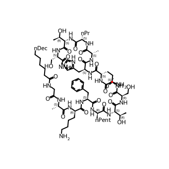 CCCCCCCCCCCCCCCC(=O)NCC(=O)N[C@@H](C)C(=O)N[C@H](CCCCN)C(=O)N[C@@H](Cc1ccccc1)C(=O)N[C@H](CCCCC)C(=O)N[C@H](C(=O)N[C@H](CO)C(=O)N[C@@H](C)C(=O)N[C@@H](CCC(N)=O)C(=O)N[C@@H](Cc1cnc[nH]1)C(=O)N[C@@H](C)C(=O)N[C@@H](CCC)C(=O)N[C@H](C(=O)N[C@@H](CO)C(=O)NC)[C@@H](C)O)[C@@H](C)O